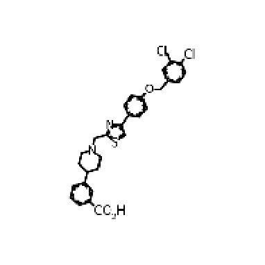 O=C(O)c1cccc(C2CCN(Cc3nc(-c4ccc(OCc5ccc(Cl)c(Cl)c5)cc4)cs3)CC2)c1